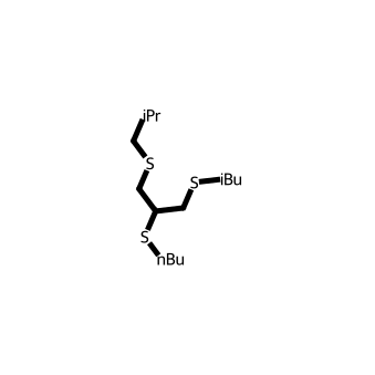 CCCCS[C](CSCC(C)C)CSC(C)CC